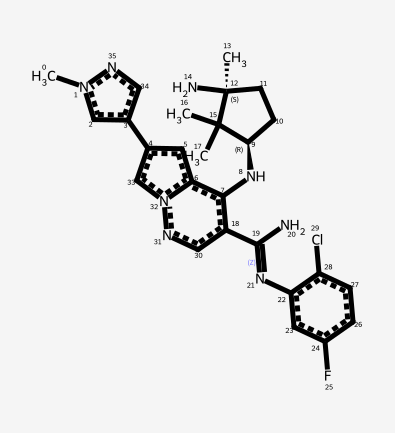 Cn1cc(-c2cc3c(N[C@@H]4CC[C@](C)(N)C4(C)C)c(/C(N)=N/c4cc(F)ccc4Cl)cnn3c2)cn1